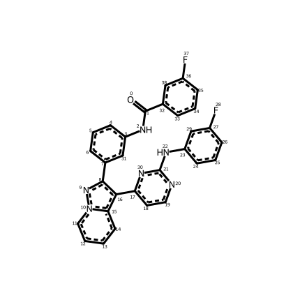 O=C(Nc1cccc(-c2nn3ccccc3c2-c2ccnc(Nc3cccc(F)c3)n2)c1)c1cccc(F)c1